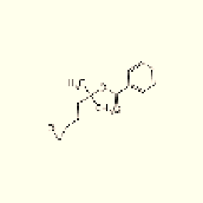 CC(C)(CCC1CO1)OC(=O)c1ccccc1